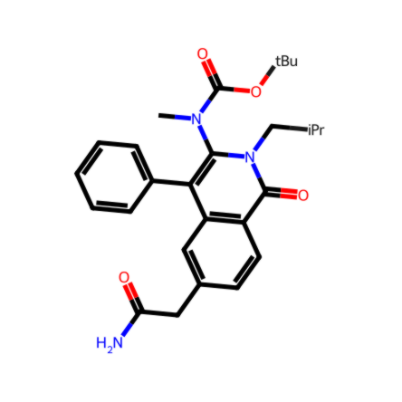 CC(C)Cn1c(N(C)C(=O)OC(C)(C)C)c(-c2ccccc2)c2cc(CC(N)=O)ccc2c1=O